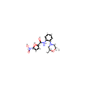 C[C@H]1CN(c2ccccc2NC(=O)c2ccc([N+](=O)[O-])o2)C[C@H](C)O1